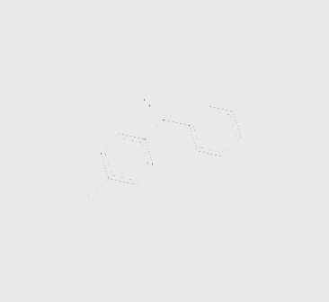 [Na+].[S-]c1ccc(Cc2ccccc2)cc1